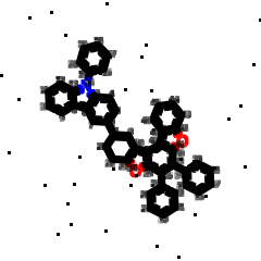 C1=C(c2ccc3c(c2)c2ccccc2n3-c2ccccc2)CCc2oc3c(-c4ccccc4)c(-c4ccccc4)c4oc5ccccc5c4c3c21